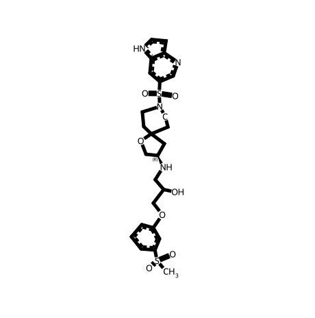 CS(=O)(=O)c1cccc(OCC(O)CN[C@H]2COC3(CCN(S(=O)(=O)c4cnc5cc[nH]c5c4)CC3)C2)c1